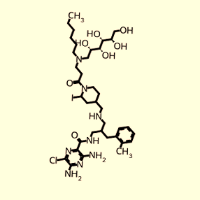 CCCCCCN(CCC(=O)N1CCC(CNCC(CNC(=O)c2nc(Cl)c(N)nc2N)Cc2ccccc2C)CC1I)C[C@H](O)[C@@H](O)[C@H](O)[C@H](O)CO